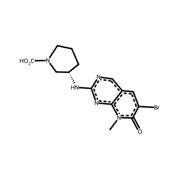 Cn1c(=O)c(Br)cc2cnc(N[C@H]3CCCN(C(=O)O)C3)nc21